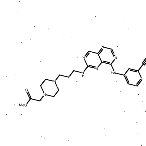 C#Cc1cccc(Nc2ncnc3cnc(NCCCN4CCN(CC(=O)OC)CC4)nc23)c1